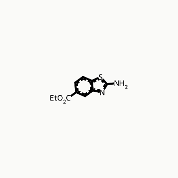 CCOC(=O)c1ccc2sc(N)nc2c1